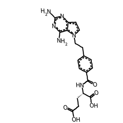 Nc1nc(N)c2c(ccn2CCc2ccc(C(=O)N[C@@H](CCC(=O)O)C(=O)O)cc2)n1